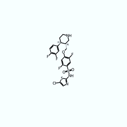 O=S(=O)(Nc1ncc(Cl)s1)c1cc(F)c(OC[C@H]2CNCC[C@@H]2c2ccc(F)c(F)c2)cc1F